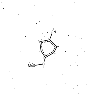 CSOc1ccc(C#N)cc1